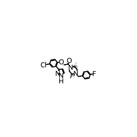 C[C@@H]1CN(Cc2ccc(F)cc2)[C@@H](C)CN1C(=O)COc1ccc(Cl)cc1-c1cc[nH]n1